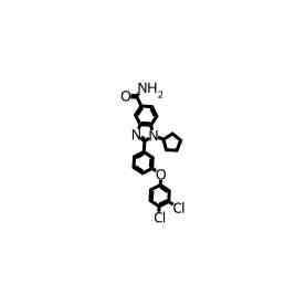 NC(=O)c1ccc2c(c1)nc(-c1cccc(Oc3ccc(Cl)c(Cl)c3)c1)n2C1CCCC1